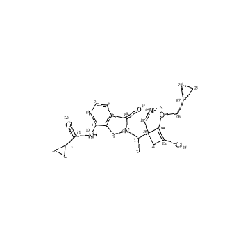 CC(N1Cc2c(ccnc2NC(=O)C2CC2)C1=O)C1(C=N)CC(Cl)=C1OCC1CC1